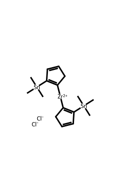 [CH3][Sn]([CH3])([CH3])[C]1=[C]([Zr+2][C]2=[C]([Sn]([CH3])([CH3])[CH3])C=CC2)CC=C1.[Cl-].[Cl-]